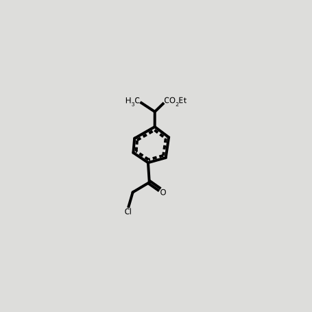 CCOC(=O)C(C)c1ccc(C(=O)CCl)cc1